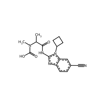 CC(C(=O)Nc1nc2ccc(C#N)cc2n1C1CCC1)N(C)C(=O)O